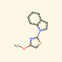 COc1csc(-n2ccc3ccccc32)n1